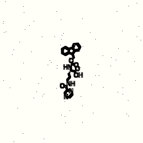 O=C(N[C@@H](CCCNC(=O)c1cnccn1)C(=O)O)OCC1c2ccccc2-c2ccccc21